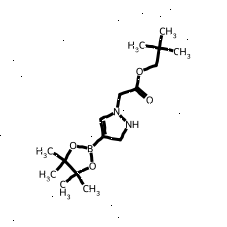 CC(C)(C)COC(=O)CN1C=C(B2OC(C)(C)C(C)(C)O2)CN1